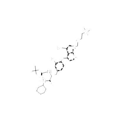 CC(C)(C)OC(=O)N[C@@H](Cc1ccc(Oc2ccnc3c2c(Br)cn3COCCS(C)(C)C)c(F)c1)C(=O)NC1CCCCC1